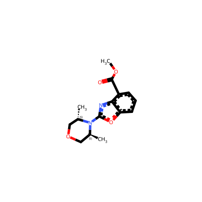 COC(=O)c1cccc2oc(N3[C@@H](C)COC[C@@H]3C)nc12